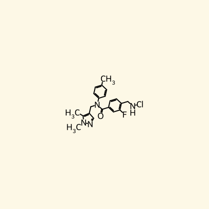 Cc1ccc(N(Cc2cnn(C)c2C)C(=O)c2ccc(CNCl)c(F)c2)cc1